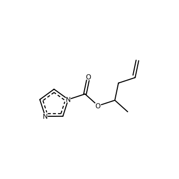 C=CCC(C)OC(=O)n1ccnc1